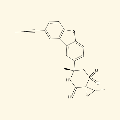 CC#Cc1ccc2sc3ccc([C@]4(C)CS(=O)(=O)[C@]5(C[C@H]5C)C(=N)N4)cc3c2c1